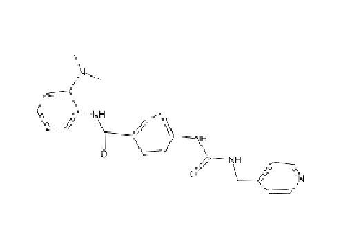 CN(C)c1ccccc1NC(=O)c1ccc(NC(=O)NCc2ccncc2)cc1